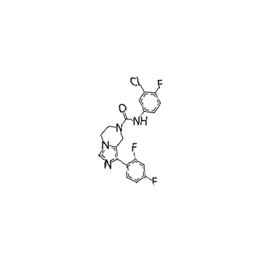 O=C(Nc1ccc(F)c(Cl)c1)N1CCn2cnc(-c3ccc(F)cc3F)c2C1